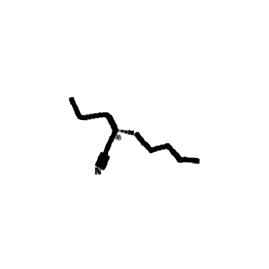 CCCCC[C@H](C#N)CCC